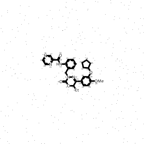 CCC1OC(=O)N(Cc2ccccc2NC(=O)c2cnccn2)N=C1c1ccc(OC)c(OC2CCCC2)c1